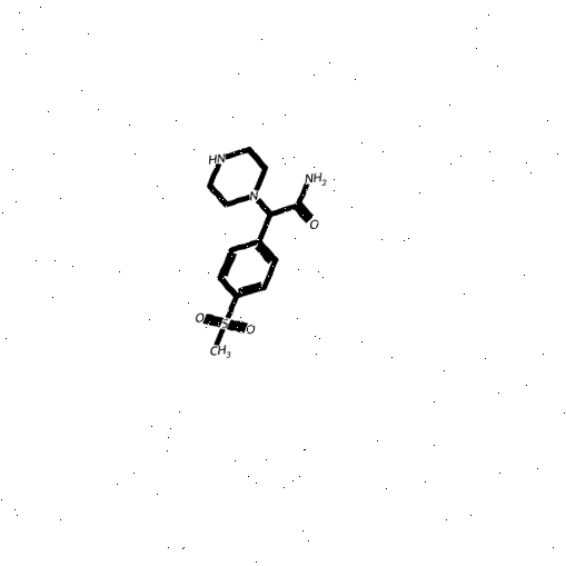 CS(=O)(=O)c1ccc(C(C(N)=O)N2CCNCC2)cc1